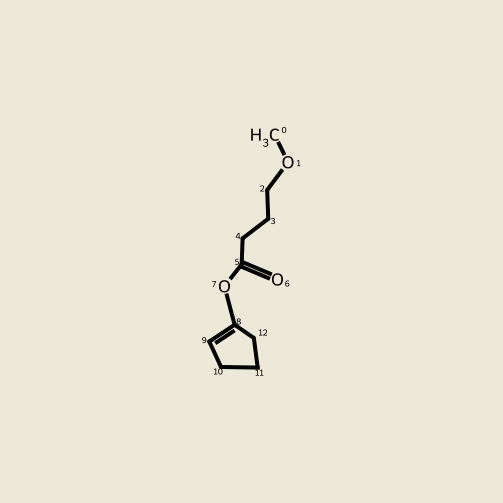 COCCCC(=O)OC1=CCCC1